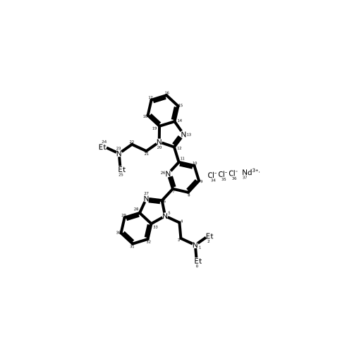 CCN(CC)CCn1c(-c2cccc(-c3nc4ccccc4n3CCN(CC)CC)n2)nc2ccccc21.[Cl-].[Cl-].[Cl-].[Nd+3]